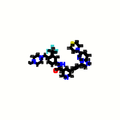 CN1CCN(Cc2ccc(NC(=O)c3cncc(C#Cc4cnc5ccc(N6CCSCC6)nn45)c3)cc2C(F)(F)F)CC1